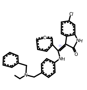 CCN(Cc1ccccc1)Cc1ccc(N/C(=C2\C(=O)Nc3cc(Cl)ccc32)c2ccccc2)cc1